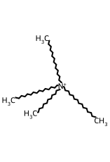 CCCCCCCCCCCCCCCC[N+](CCCCCCCCCCCC)(CCCCCCCCCCCCCCCC)CCCCCCCCCCCCCCCC